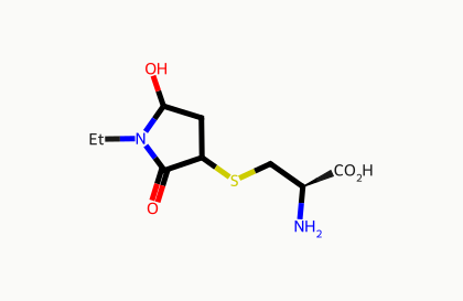 CCN1C(=O)C(SC[C@H](N)C(=O)O)CC1O